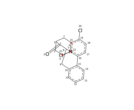 O=C1C2CCN(CC2)C1Cc1ccccc1-c1ccc(Cl)cc1Cl